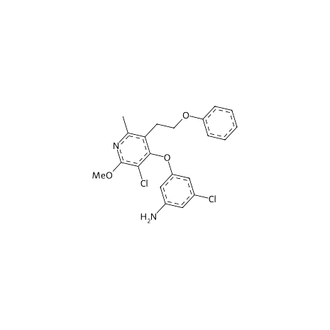 COc1nc(C)c(CCOc2ccccc2)c(Oc2cc(N)cc(Cl)c2)c1Cl